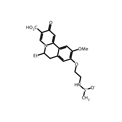 CCC1Cc2cc(OCCN[S+](C)[O-])c(OC)cc2-c2cc(=O)c(C(=O)O)cn21